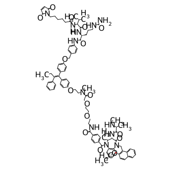 CC/C(=C(/c1ccc(OCCN(C)C(=O)COCCOCCNC(=O)c2ccc(C(=O)N3c4cc(C)ccc4N(Cc4c(OC)ccc5ccccc45)C(=O)[C@@H](NC(=O)[C@H](C)NC)[C@@H]3C)cc2)cc1)c1ccc(OCc2ccc(NC(=O)[C@H](CCCNC(N)=O)NC(=O)[C@@H](NC(=O)CCCCCN3C(=O)C=CC3=O)C(C)C)cc2)cc1)c1ccccc1